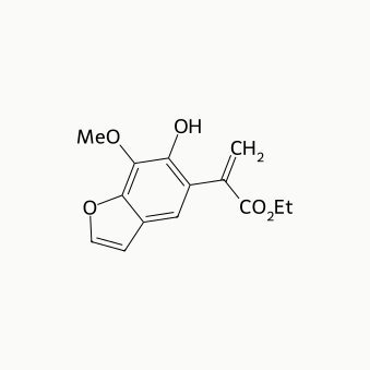 C=C(C(=O)OCC)c1cc2ccoc2c(OC)c1O